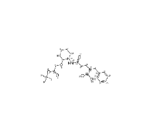 CC(C)(C)OC(=O)COC1CCCCN1NC(=O)CCN(Cc1ccccc1)C(=O)O